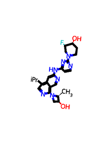 CC(C)c1cnc(N2C[C@H](O)[C@H]2C)c2cnc(Nc3ccnc(N4CC[C@@H](O)[C@@H](F)C4)n3)cc12